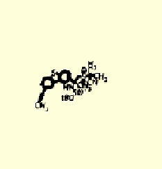 CC#Cc1ccc2sc3ccc([C@](C)(CS(=O)(=O)C(C)(C)C#N)N[S+]([O-])C(C)(C)C)cc3c2c1